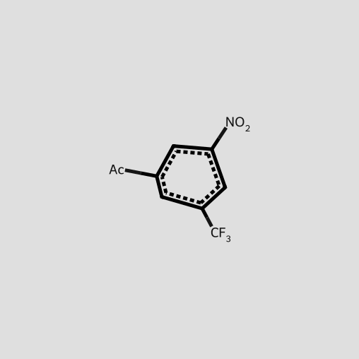 CC(=O)c1cc([N+](=O)[O-])cc(C(F)(F)F)c1